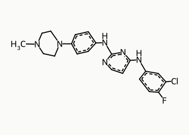 CN1CCN(c2ccc(Nc3nccc(Nc4ccc(F)c(Cl)c4)n3)cc2)CC1